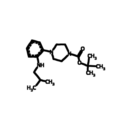 CC(C)CNc1ccccc1N1CCN(C(=O)OC(C)(C)C)CC1